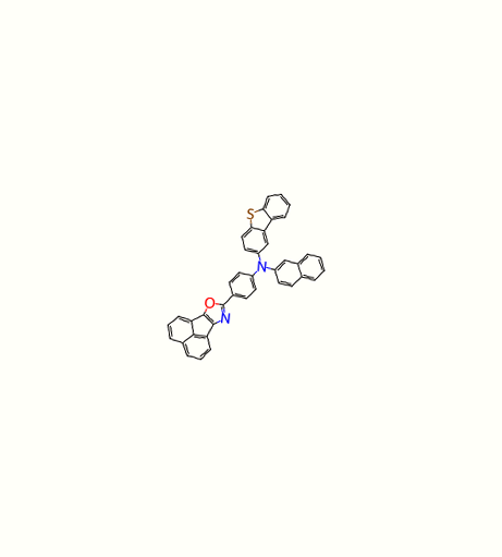 c1ccc2cc(N(c3ccc(-c4nc5c(o4)-c4cccc6cccc-5c46)cc3)c3ccc4sc5ccccc5c4c3)ccc2c1